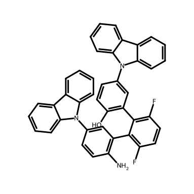 Nc1ccc(-n2c3ccccc3c3ccccc32)cc1-c1c(F)ccc(F)c1-c1cc(-n2c3ccccc3c3ccccc32)ccc1O